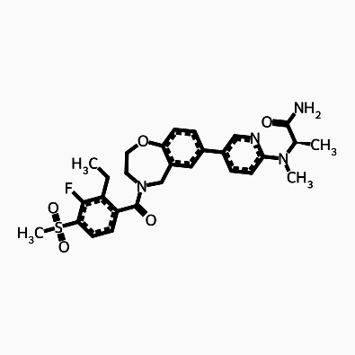 CCc1c(C(=O)N2CCOc3ccc(-c4ccc(N(C)[C@H](C)C(N)=O)nc4)cc3C2)ccc(S(C)(=O)=O)c1F